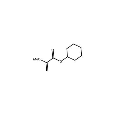 C=C(OC)C(=O)OC1CCCCC1